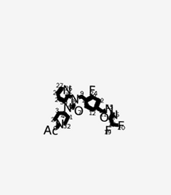 CC(=O)N1CCC(n2c(=O)n(Cc3ccc(-c4nnc(C(F)F)o4)cc3F)c3ncccc32)CC1